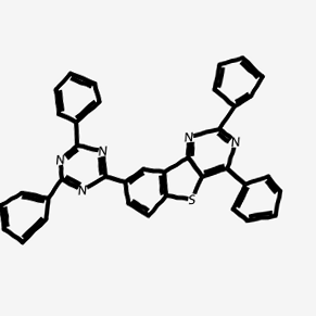 c1ccc(-c2nc(-c3ccccc3)nc(-c3ccc4sc5c(-c6ccccc6)nc(-c6ccccc6)nc5c4c3)n2)cc1